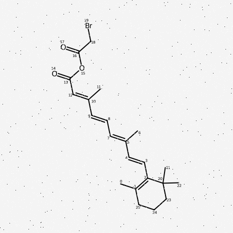 CC1=C(/C=C/C(C)=C/C=C/C(C)=C/C(=O)OC(=O)CBr)C(C)(C)CCC1